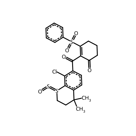 CC1(C)CCS(=S=O)c2c1ccc(C(=O)C1=C(S(=O)(=O)c3ccccc3)CCCC1=O)c2Cl